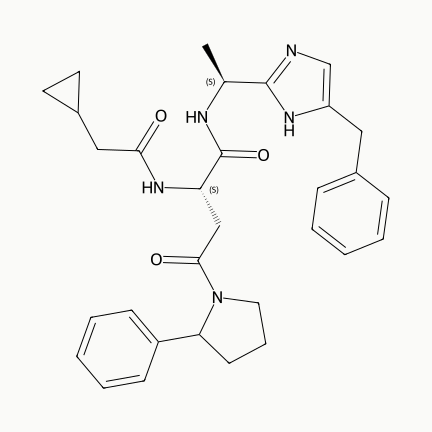 C[C@H](NC(=O)[C@H](CC(=O)N1CCCC1c1ccccc1)NC(=O)CC1CC1)c1ncc(Cc2ccccc2)[nH]1